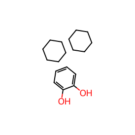 C1CCCCC1.C1CCCCC1.Oc1ccccc1O